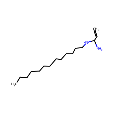 C=CC(N)NCCCCCCCCCCCCC